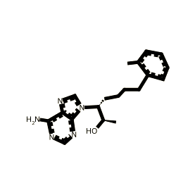 Cc1ccccc1CCCC[C@H]([C@@H](C)O)n1cnc2c(N)ncnc21